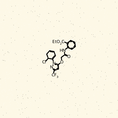 CCOC(=O)c1ccccc1NC(=O)COc1cc(C(F)(F)F)nn1C1=CC=CCC1Cl